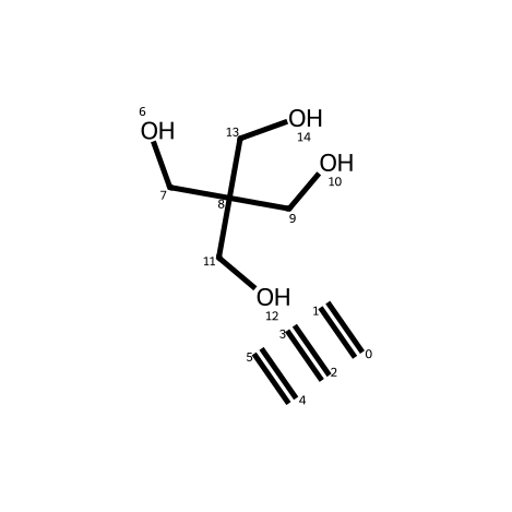 C=C.C=C.C=C.OCC(CO)(CO)CO